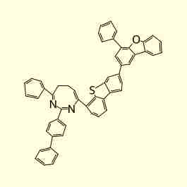 C1=C(c2cccc3c2sc2cc(-c4cc(-c5ccccc5)c5oc6ccccc6c5c4)ccc23)/N=C(c2ccc(-c3ccccc3)cc2)\N=C(\c2ccccc2)CC\1